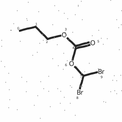 CCCOC(=O)OC(Br)Br